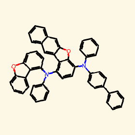 c1ccc(-c2ccc(N(c3ccccc3)c3ccc(N(c4ccccc4)c4cccc5oc6ccccc6c45)c4c3oc3cc5ccccc5cc34)cc2)cc1